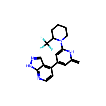 C=C1C=C(c2ccnc3[nH]ncc23)C=C(N2CCCCC2C(F)(F)F)N1